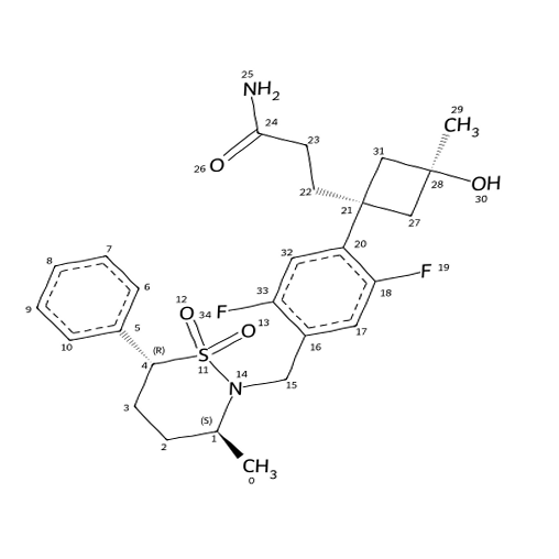 C[C@H]1CC[C@H](c2ccccc2)S(=O)(=O)N1Cc1cc(F)c([C@]2(CCC(N)=O)C[C@](C)(O)C2)cc1F